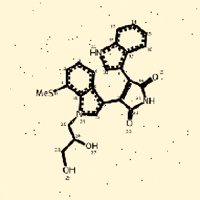 CSc1cccc2c(C3=C(c4c[nH]c5ccccc45)C(=O)NC3=O)cn(CC(O)CO)c12